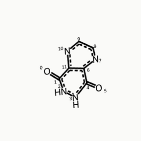 O=c1[nH][nH]c(=O)c2nccnc12